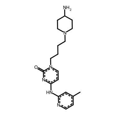 Cc1ccnc(Nc2ccn(CCCCN3CCC(N)CC3)c(=O)n2)c1